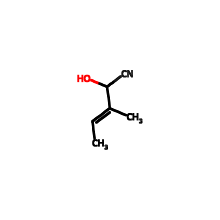 C/C=C(\C)C(O)C#N